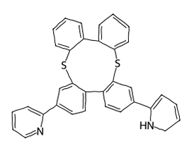 C1=CCNC(c2ccc3c(c2)Sc2ccccc2-c2ccccc2Sc2cc(-c4ccccn4)ccc2-3)=C1